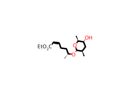 CCOC(=O)/C=C\CC[C@@H](C)O[C@@H]1O[C@@H](C)[C@H](O)C[C@H]1C